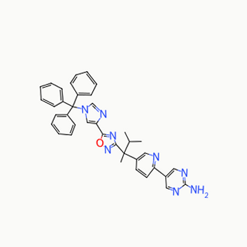 CC(C)C(C)(c1ccc(-c2cnc(N)nc2)nc1)c1noc(-c2cn(C(c3ccccc3)(c3ccccc3)c3ccccc3)cn2)n1